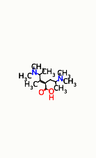 CC(=C(CC(C)N(C)C)C(=O)O)C(C)N(C)C